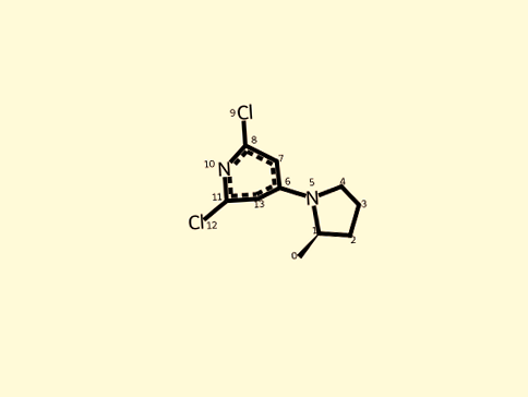 C[C@@H]1CCCN1c1cc(Cl)nc(Cl)c1